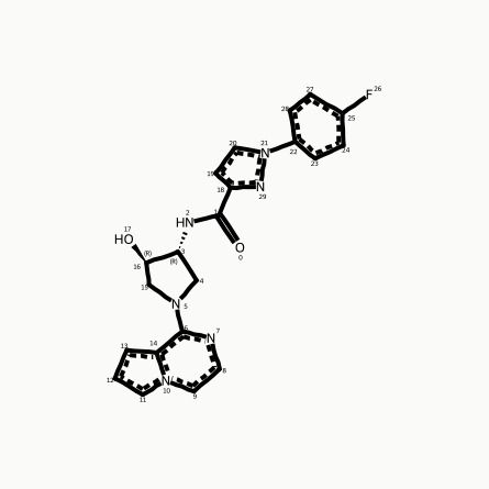 O=C(N[C@@H]1CN(c2nccn3cccc23)C[C@H]1O)c1ccn(-c2ccc(F)cc2)n1